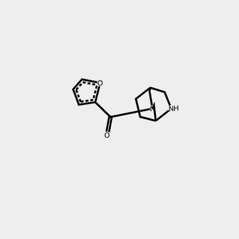 O=C(c1ccco1)N1CC2CCC(C1)NC2